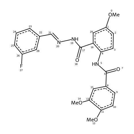 COc1ccc(NC(=O)c2ccc(OC)c(OC)c2)c(C(=O)NN=Cc2cccc(F)c2)c1